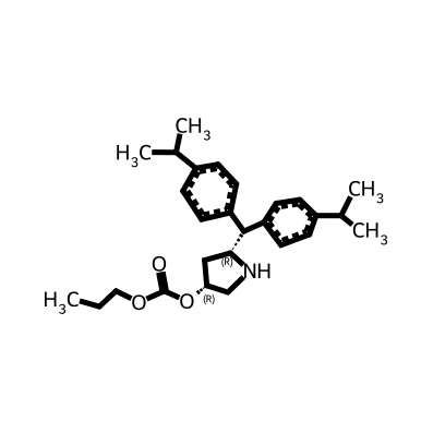 CCCOC(=O)O[C@H]1CN[C@@H](C(c2ccc(C(C)C)cc2)c2ccc(C(C)C)cc2)C1